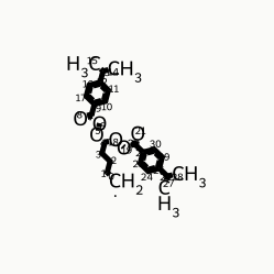 [CH2]CCC[C](OOC(=O)c1ccc(C(C)C)cc1)OOC(=O)c1ccc(C(C)C)cc1